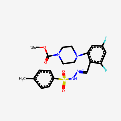 Cc1ccc(S(=O)(=O)N/N=C/c2c(F)cc(F)cc2N2CCN(C(=O)OC(C)(C)C)CC2)cc1